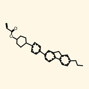 C=CC(=O)OC1CCC(c2ccc(-c3ccc4c(c3)Cc3cc(CCC)ccc3-4)cc2)CC1